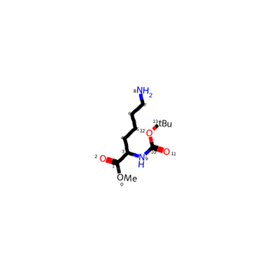 COC(=O)C(CCCCN)NC(=O)OC(C)(C)C